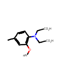 CCCOc1cc(C)ccc1N(CC(=O)O)CC(=O)O